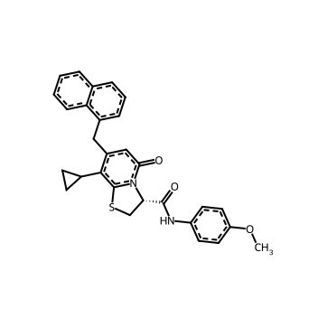 COc1ccc(NC(=O)[C@@H]2CSc3c(C4CC4)c(Cc4cccc5ccccc45)cc(=O)n32)cc1